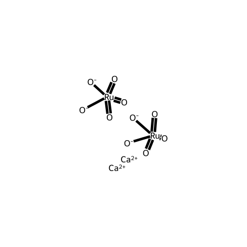 [Ca+2].[Ca+2].[O]=[Ru](=[O])(=[O])([O-])[O-].[O]=[Ru](=[O])(=[O])([O-])[O-]